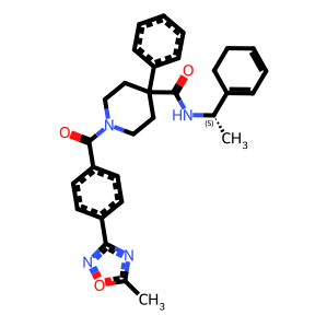 Cc1nc(-c2ccc(C(=O)N3CCC(C(=O)N[C@@H](C)C4=CC=CCC4)(c4ccccc4)CC3)cc2)no1